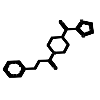 O=C(c1ncco1)C1CCN(C(=O)CCc2ccccc2)CC1